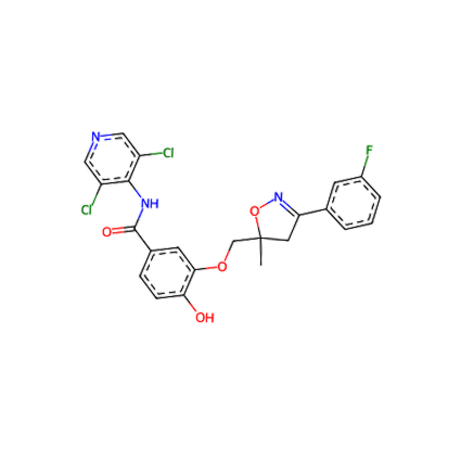 CC1(COc2cc(C(=O)Nc3c(Cl)cncc3Cl)ccc2O)CC(c2cccc(F)c2)=NO1